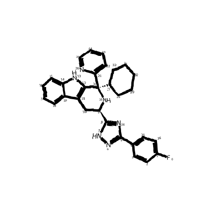 Fc1ccc(-c2n[nH]c([C@H]3Cc4c([nH]c5ccccc45)[C@](c4ccccn4)(C4CCCCC4)N3)n2)cc1